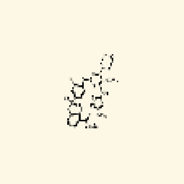 COC(=O)c1cccc(CS(=O)(=O)c2ccc(Sc3nc(Nc4cc(C)[nH]n4)c(OC)c(N4CCOCC4)n3)c(F)c2)c1F